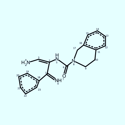 N=C(/C(=C\N)NC(=O)N1CCc2ccccc2C1)c1ccccc1